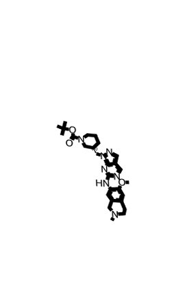 COc1cc2c(cc1Nc1ncc3cnn(C[C@H]4CCCN(C(=O)OC(C)(C)C)C4)c3n1)CN(C)CC2